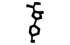 COC(=O)c1cc(-c2ccc(C#N)cc2)c[nH]1